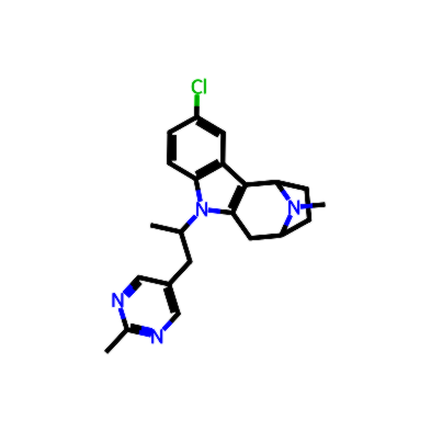 Cc1ncc(CC(C)n2c3c(c4cc(Cl)ccc42)C2CCC(C3)N2C)cn1